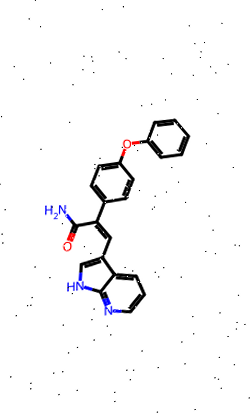 NC(=O)C(=Cc1c[nH]c2ncccc12)c1ccc(Oc2ccccc2)cc1